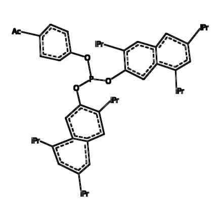 CC(=O)c1ccc(OP(Oc2cc3c(C(C)C)cc(C(C)C)cc3cc2C(C)C)Oc2cc3c(C(C)C)cc(C(C)C)cc3cc2C(C)C)cc1